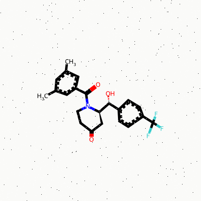 Cc1cc(C)cc(C(=O)N2CCC(=O)C[C@@H]2[C@H](O)c2ccc(C(F)(F)F)cc2)c1